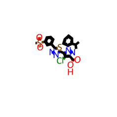 CC(C)c1ccccc1-n1nc(C(=O)O)c(Cl)c1-c1nnc(-c2cccc(S(C)(=O)=O)c2)s1